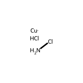 Cl.NCl.[Cu]